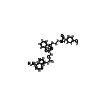 COc1ccc(C(=O)NCCCOc2ccccc2O[PH](=O)COC(C)Cn2cnc3c(N)ncnc32)cc1